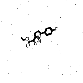 CCOC(=O)c1nnn2c1CCC2c1ccc(F)cc1